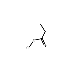 CCC(=[N])OCl